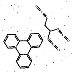 O=C=NCC(N=C=O)N=C=O.c1ccc2c(c1)c1ccccc1c1ccccc21